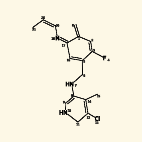 C=C1C=C(F)C(CNC2=CNCC(Cl)=C2C)=C/C1=N/C=C\C